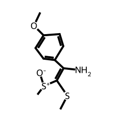 COc1ccc(C(N)=C(SC)[S+](C)[O-])cc1